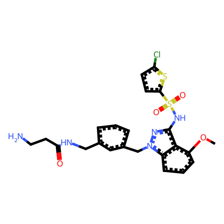 COc1cccc2c1c(NS(=O)(=O)c1ccc(Cl)s1)nn2Cc1cccc(CNC(=O)CCN)c1